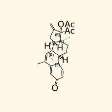 C=C1C[C@H]2[C@@H]3C=C(C)C4=CC(=O)C=C[C@]4(C)[C@H]3CC[C@]2(C)[C@@]1(OC(C)=O)C(C)=O